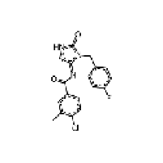 Cc1cc(C(=O)/N=c2\s[nH]c(=O)n2Cc2ccc(F)cc2)ccc1Cl